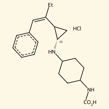 CCC(=Cc1ccccc1)C1C[C@@H]1NC1CCC(NC(=O)O)CC1.Cl